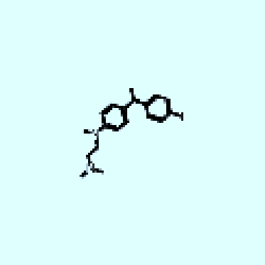 CC(c1ccc(I)cc1)c1ccc(N(C)CCN(C)C)cc1